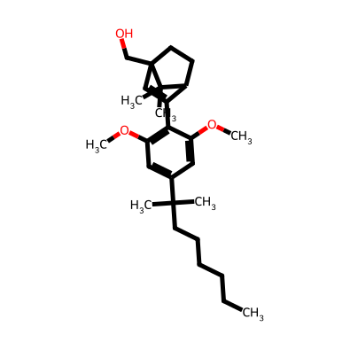 CCCCCCC(C)(C)c1cc(OC)c(C2=CC3(CO)CCC2C3(C)C)c(OC)c1